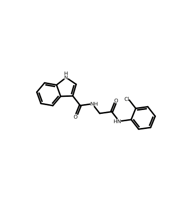 O=C(CNC(=O)c1c[nH]c2ccccc12)Nc1ccccc1Cl